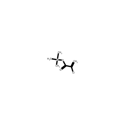 C=C(Cl)C(=O)O[Si](C)(C)C